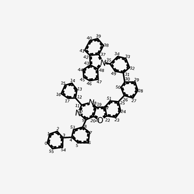 c1ccc(-c2cccc(-c3nc(-c4ccccc4)nc4c3oc3ccc(-c5cccc(-c6cccc(-n7c8ccccc8c8ccccc87)c6)c5)cc34)c2)cc1